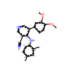 COc1ccc(-c2cncc(C#N)c2Nc2ccc(C)cc2C)cc1OC